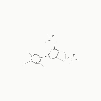 CS(=O)(=O)Oc1nc(-c2cc(F)c(Cl)cc2F)nc2c1CN(S(C)(=O)=O)C2